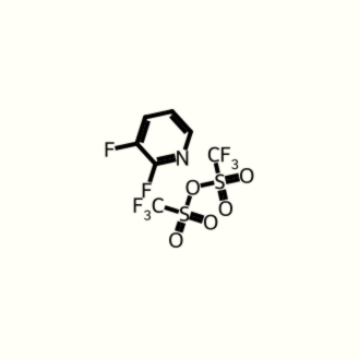 Fc1cccnc1F.O=S(=O)(OS(=O)(=O)C(F)(F)F)C(F)(F)F